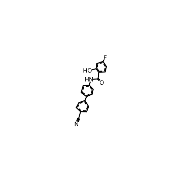 N#Cc1ccc(-c2ccc(NC(=O)c3ccc(F)cc3O)cc2)cc1